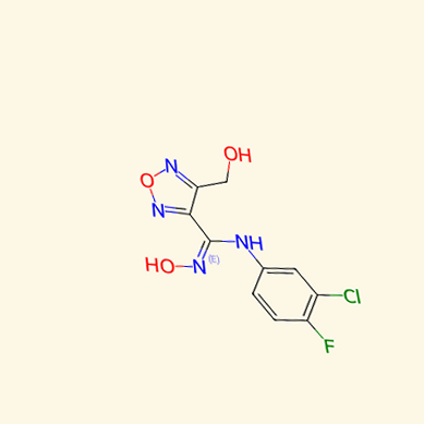 OCc1nonc1/C(=N\O)Nc1ccc(F)c(Cl)c1